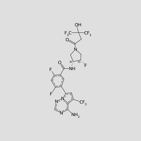 Nc1ncnn2c(-c3cc(C(=O)N[C@@H]4CN(C(=O)CC(O)(C(F)(F)F)C(F)(F)F)C[C@@H]4F)c(F)cc3F)cc(C(F)(F)F)c12